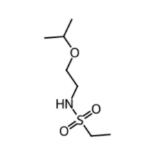 CCS(=O)(=O)NCCOC(C)C